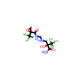 NC(=O)C(O)(CNCNC(=O)C1(C(F)(F)F)CO1)C(F)(F)F